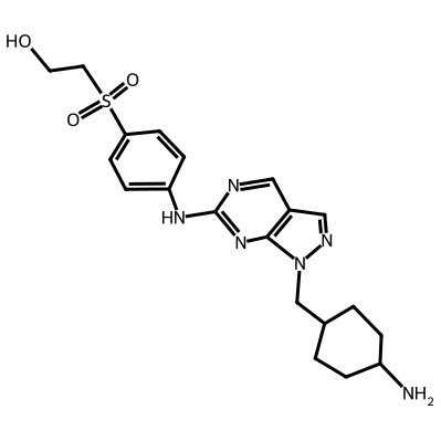 NC1CCC(Cn2ncc3cnc(Nc4ccc(S(=O)(=O)CCO)cc4)nc32)CC1